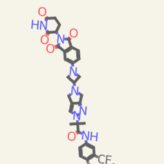 CC(C)(C(=O)Nc1ccc(C#N)c(C(F)(F)F)c1)n1cc2c(n1)CN(C1CN(c3ccc4c(c3)C(=O)N(C3CCC(=O)NC3=O)C4=O)C1)C2